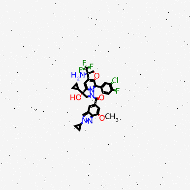 COc1cc(C(=O)NC[C@](O)(c2cc3c(c(-c4ccc(F)c(Cl)c4)n2)OC[C@@]3(N)C(F)(F)F)C2CC2)cc2cn(C3CC3)nc12